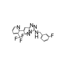 Fc1cccc(CNc2nnc3cc(-c4ncccc4C(F)(F)F)cnn23)c1